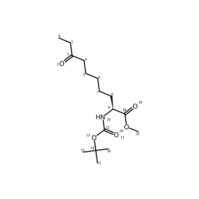 CCC(=O)CCCCC[C@H](NC(=O)OC(C)(C)C)C(=O)OC